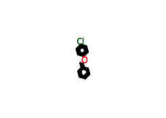 Clc1ccc(OC=C2C=C[C]=CC2)cc1